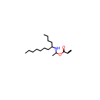 C=CC(=O)OC(C)NC(CCCC)CCCCCCC